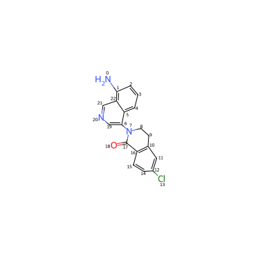 Nc1cccc2c(N3CCc4cc(Cl)ccc4C3=O)cncc12